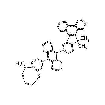 C=C1/C=C\C=C/CSc2cc(-c3c4ccccc4c(-c4ccc5c(c4)-c4c(c6ccccc6c6ccccc46)C5(C)C)c4ccccc34)ccc21